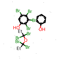 CCC(Br)(Br)OC(Br)(Br)CC.Oc1cc(Br)c(Br)c(Br)c1Br.Oc1ccccc1